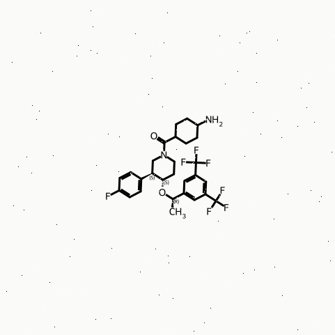 C[C@@H](O[C@H]1CCN(C(=O)C2CCC(N)CC2)C[C@@H]1c1ccc(F)cc1)c1cc(C(F)(F)F)cc(C(F)(F)F)c1